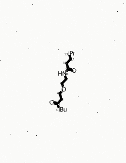 CCC(C)C(=O)CCOCCNC(=O)CCC(C)C